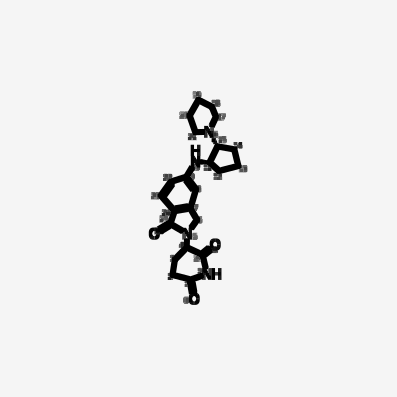 O=C1CCC(N2Cc3cc(N[C@@H]4CCC[C@H]4N4CCCCC4)ccc3C2=O)C(=O)N1